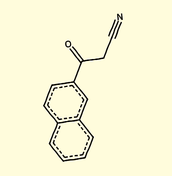 N#CCC(=O)c1ccc2ccccc2c1